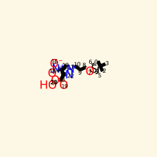 CC(C)(C)[Si](C)(C)OCCCn1cc([N+](=O)[O-])c(C(=O)OO)n1